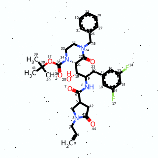 C=CCN1CC(C(=O)NC(Cc2cc(F)cc(F)c2)[C@H](O)[C@H]2C(=O)N(Cc3ccccc3)CCN2C(=O)OC(C)(C)C)CC1=O